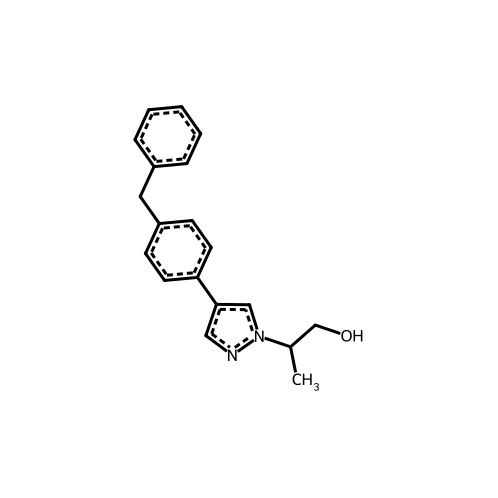 CC(CO)n1cc(-c2ccc(Cc3ccccc3)cc2)cn1